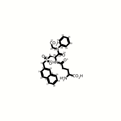 NC(CCC(=O)N[C@@H](CS(=O)(=O)Cc1ccc2ccccc2c1)C(=O)N(CC(=O)O)c1ccccc1)C(=O)O